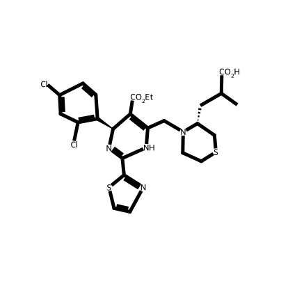 CCOC(=O)C1=C(CN2CCSC[C@H]2CC(C)C(=O)O)NC(c2nccs2)=N[C@H]1c1ccc(Cl)cc1Cl